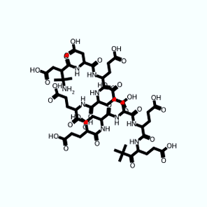 CC(C)(C)C(=O)C(CCC(=O)O)NC(=O)C(CCC(=O)O)NC(=O)C(CCC(=O)O)NC(=O)C(CC(=O)O)NC(=O)C(CCC(=O)O)NC(=O)C(CCC(=O)O)NC(=O)C(CCC(=O)O)NC(=O)C(CCC(=O)O)NC(=O)C(CC(=O)O)NC(=O)C(CC(=O)O)C(C)(C)N